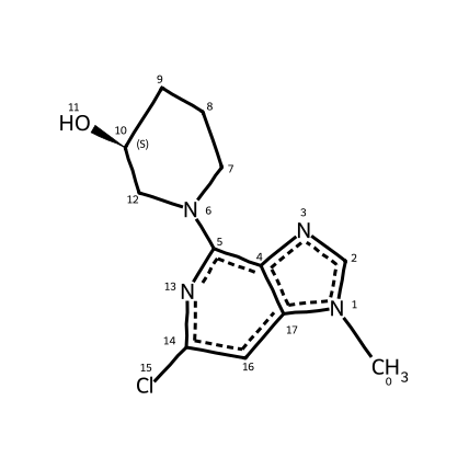 Cn1cnc2c(N3CCC[C@H](O)C3)nc(Cl)cc21